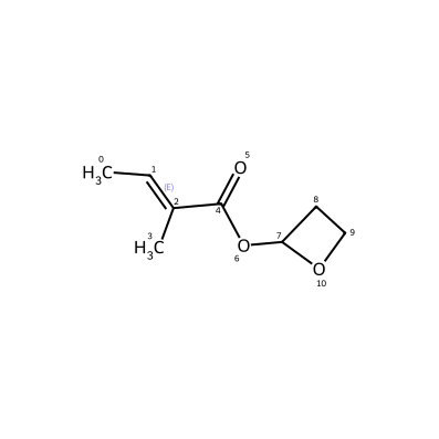 C/C=C(\C)C(=O)OC1CCO1